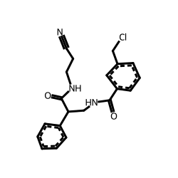 N#CCCNC(=O)C(CNC(=O)c1cccc(CCl)c1)c1ccccc1